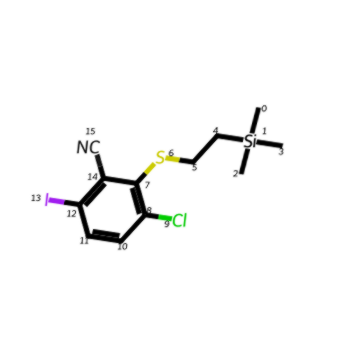 C[Si](C)(C)CCSc1c(Cl)ccc(I)c1C#N